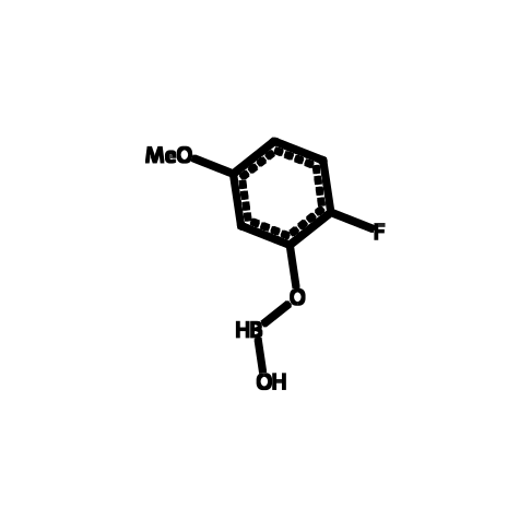 COc1ccc(F)c(OBO)c1